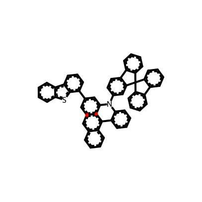 c1cc(-c2cccc3c2sc2ccccc23)cc(N(c2ccc3c(c2)C2(c4ccccc4-c4ccccc42)c2ccccc2-3)c2ccccc2-c2cccc3ccccc23)c1